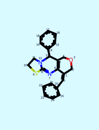 C(=C1\COCC2=C1N=C1SCCN1C2c1ccccc1)/c1ccccc1